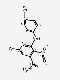 CNc1cc(Cl)nc(Nc2ccc(Cl)cc2)c1[N+](=O)[O-]